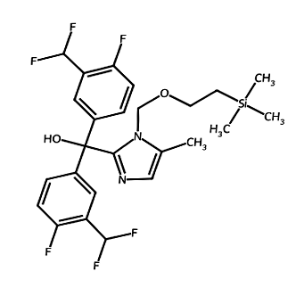 Cc1cnc(C(O)(c2ccc(F)c(C(F)F)c2)c2ccc(F)c(C(F)F)c2)n1COCC[Si](C)(C)C